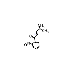 CN(C)/C=C/C(=O)c1ccccc1N=O